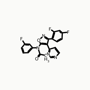 CC(=O)N(c1cccc(F)c1)c1onc(-c2ccc(F)cc2F)c1-c1ccncn1